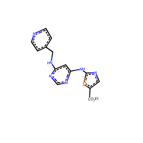 CCOC(=O)c1cnc(Nc2cc(NCc3ccncc3)ncn2)s1